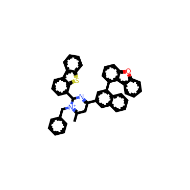 CC1=[N+](Cc2ccccc2)C(c2cccc3c2sc2ccccc23)N=C(c2cc(-c3cccc4oc5ccccc5c34)c3ccccc3c2)C1